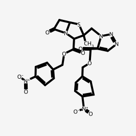 CC1(Cn2nncc2C(=O)OCc2ccc([N+](=O)[O-])cc2)SC2CC(=O)N2C1C(=O)OCc1ccc([N+](=O)[O-])cc1